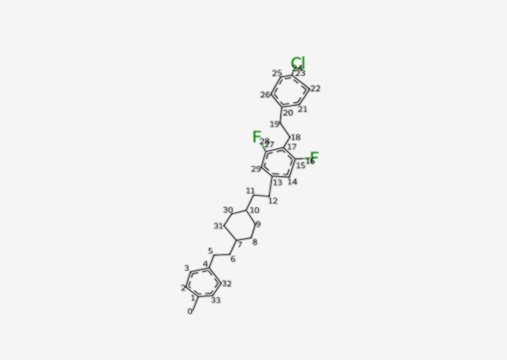 Cc1ccc(CCC2CCC(CCc3cc(F)c(CCc4ccc(Cl)cc4)c(F)c3)CC2)cc1